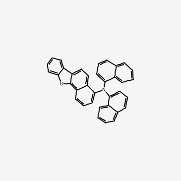 c1ccc2c(N(c3cccc4ccccc34)c3cccc4c3ccc3c5ccccc5oc43)cccc2c1